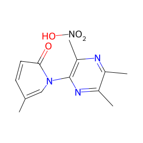 Cc1ccc(=O)n(-c2nc(C)c(C)nc2C)c1.O=[N+]([O-])O